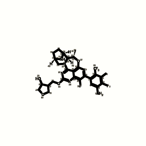 Cc1c(F)c(N)cc(-c2nc3c4c(nc(OCC5COCC5O)nc4c2F)N2C[C@H]4CC[C@H](N4)[C@H]2[C@H](C)O3)c1C(F)(F)F